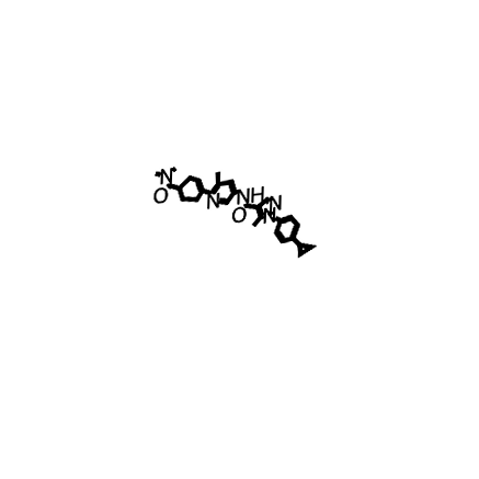 Cc1cc(NC(=O)c2cnn(-c3ccc(C4CC4)cc3)c2C)cnc1C1=CCC(C(=O)N(C)C)CC1